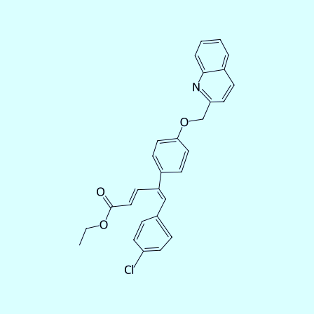 CCOC(=O)C=CC(=Cc1ccc(Cl)cc1)c1ccc(OCc2ccc3ccccc3n2)cc1